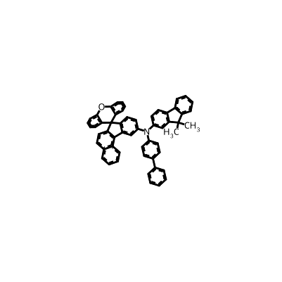 CC1(C)c2ccccc2-c2ccc(N(c3ccc(-c4ccccc4)cc3)c3ccc4c(c3)-c3c(ccc5ccccc35)C43c4ccccc4Oc4ccccc43)cc21